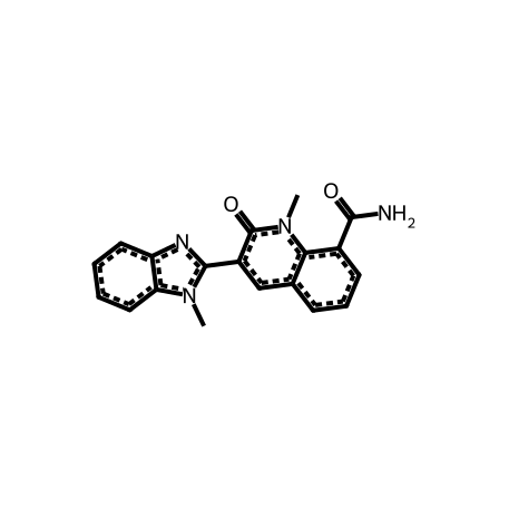 Cn1c(-c2cc3cccc(C(N)=O)c3n(C)c2=O)nc2ccccc21